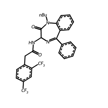 CCCCN1C(=O)C(NC(=O)Cc2ccc(C(F)(F)F)cc2C(F)(F)F)N=C(c2ccccc2)c2ccccc21